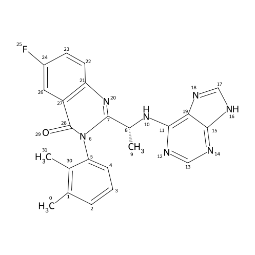 Cc1cccc(-n2c([C@@H](C)Nc3ncnc4[nH]cnc34)nc3ccc(F)cc3c2=O)c1C